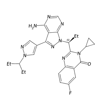 CCC(CC)n1cc(-c2nn([C@@H](CC)c3nc4ccc(F)cc4c(=O)n3C3CC3)c3ncnc(N)c23)cn1